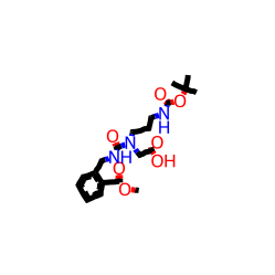 COC(=O)c1ccccc1CNC(=O)N(CCCNC(=O)OC(C)(C)C)CC(=O)O